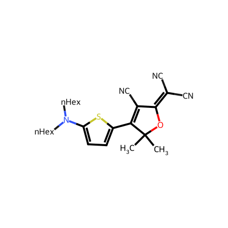 CCCCCCN(CCCCCC)c1ccc(C2=C(C#N)C(=C(C#N)C#N)OC2(C)C)s1